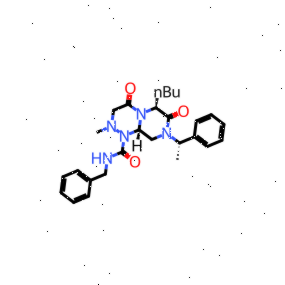 CCCC[C@H]1C(=O)N([C@@H](C)c2ccccc2)C[C@H]2N1C(=O)CN(C)N2C(=O)NCc1ccccc1